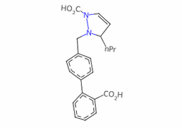 CCCC1C=CN(C(=O)O)N1Cc1ccc(-c2ccccc2C(=O)O)cc1